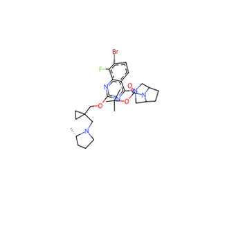 C[C@H]1CCCN1CC1(COc2nc(N3CC4CCC(C3)N4C(=O)OC(C)(C)C)c3ccc(Br)c(F)c3n2)CC1